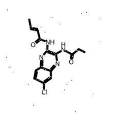 C/C=C/C(=O)Nc1nc2ccc(Cl)cc2nc1NC(=O)CC